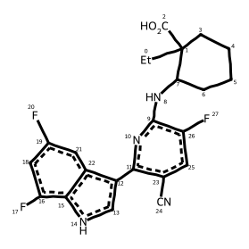 CCC1(C(=O)O)CCCCC1Nc1nc(-c2c[nH]c3c(F)cc(F)cc23)c(C#N)cc1F